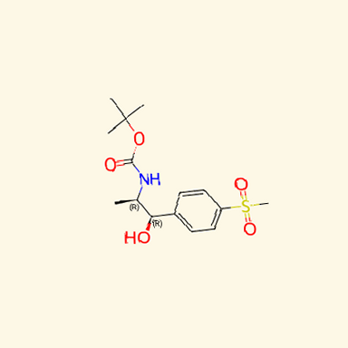 C[C@@H](NC(=O)OC(C)(C)C)[C@H](O)c1ccc(S(C)(=O)=O)cc1